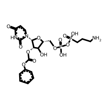 NCCCP(=O)(O)OP(=O)(O)OC[C@H]1O[C@@H](n2ccc(=O)[nH]c2=O)[C@@H](OC(=O)Oc2ccccc2)C1O